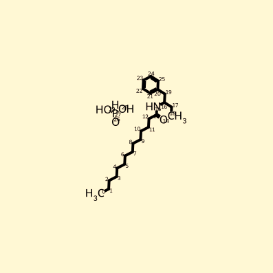 CCCCCCCCCCCCCC(=O)NC(CC)Cc1ccccc1.O=[PH](O)O